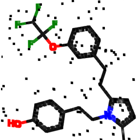 Cc1ccc(CCc2cccc(OC(F)(F)C(F)F)c2)n1CCc1ccc(O)cc1